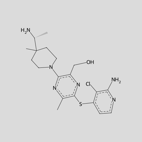 Cc1nc(N2CCC(C)([C@@H](C)N)CC2)c(CO)nc1Sc1ccnc(N)c1Cl